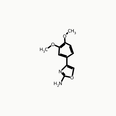 COc1ccc(-c2coc(N)n2)cc1OC